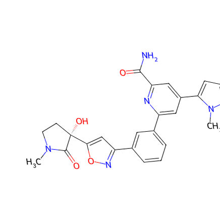 CN1CC[C@@](O)(c2cc(-c3cccc(-c4cc(-c5ccnn5C)cc(C(N)=O)n4)c3)no2)C1=O